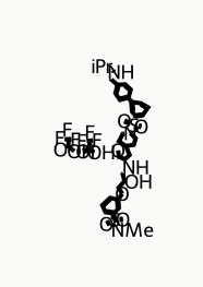 CNS(=O)(=O)c1cccc(OCC(O)CNC2COC3(CCN(S(=O)(=O)c4cccc(-c5ccc(CNC(C)C)cc5)c4)CC3)C2)c1.O=C(O)C(F)(F)F.O=C(O)C(F)(F)F